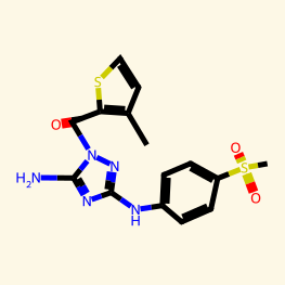 Cc1ccsc1C(=O)n1nc(Nc2ccc(S(C)(=O)=O)cc2)nc1N